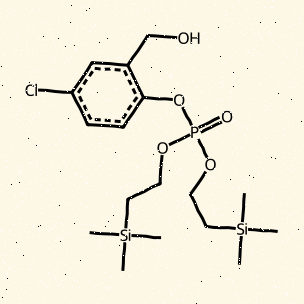 C[Si](C)(C)CCOP(=O)(OCC[Si](C)(C)C)Oc1ccc(Cl)cc1CO